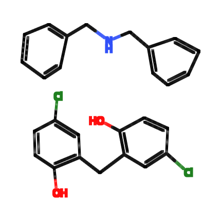 Oc1ccc(Cl)cc1Cc1cc(Cl)ccc1O.c1ccc(CNCc2ccccc2)cc1